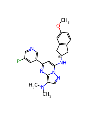 COc1ccc2c(c1)C[C@@H](Nc1cc(-c3cncc(F)c3)nc3c(N(C)C)cnn13)C2